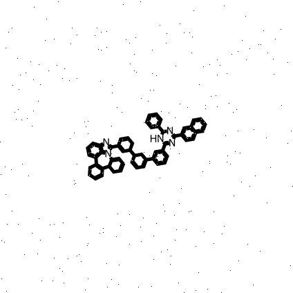 C1=CCC2C(=C1)n1c(C3=CC(C4C=CC=C(c5cccc(C6=NC(c7ccc8ccccc8c7)=NC(c7ccccc7)N6)c5)C4)CC=C3)nc3cccc(c31)C1=C2C=CCC1